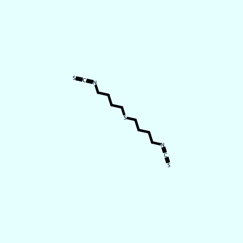 S=C=NCCCCSCCCCN=C=S